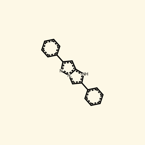 c1ccc(-c2cc3[nH]c(-c4ccccc4)cn3n2)cc1